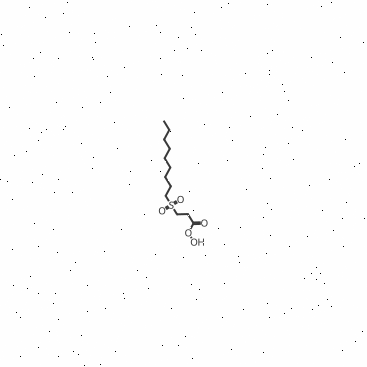 CCCCCCCCCS(=O)(=O)CCC(=O)OO